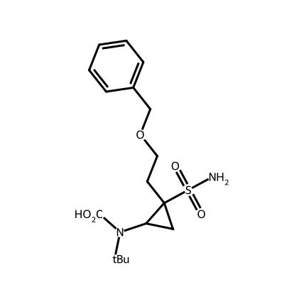 CC(C)(C)N(C(=O)O)C1CC1(CCOCc1ccccc1)S(N)(=O)=O